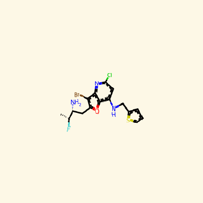 C[C@@H](F)[C@H](N)Cc1oc2c(NCc3cccs3)cc(Cl)nc2c1Br